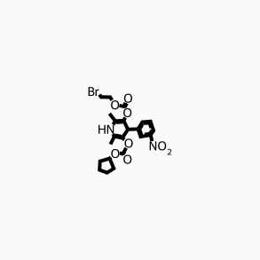 CC1=C(OC(=O)OCCBr)C(c2cccc([N+](=O)[O-])c2)C(OC(=O)OC2CCCC2)=C(C)N1